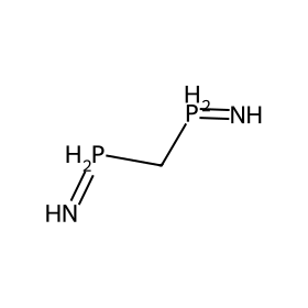 N=[PH2]C[PH2]=N